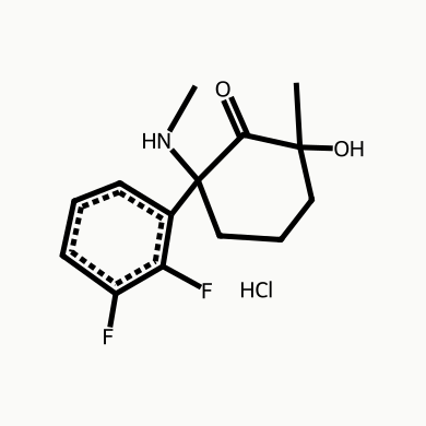 CNC1(c2cccc(F)c2F)CCCC(C)(O)C1=O.Cl